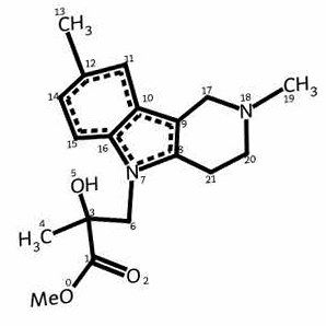 COC(=O)C(C)(O)Cn1c2c(c3cc(C)ccc31)CN(C)CC2